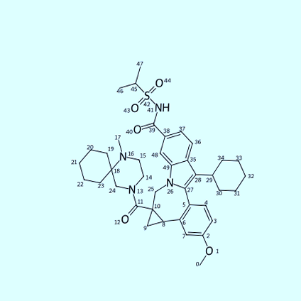 COc1ccc2c(c1)C1CC1(C(=O)N1CCN(C)C3(CCCCC3)C1)Cn1c-2c(C2CCCCC2)c2ccc(C(=O)NS(=O)(=O)C(C)C)cc21